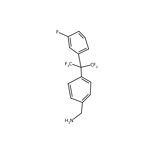 NCc1ccc(C(c2cccc(F)c2)(C(F)(F)F)C(F)(F)F)cc1